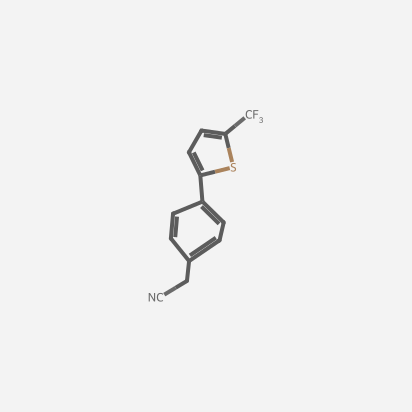 N#CCc1ccc(-c2ccc(C(F)(F)F)s2)cc1